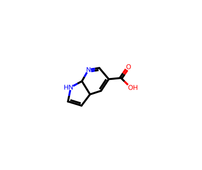 O=C(O)C1=CC2C=CNC2N=C1